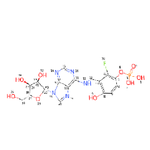 O=P(O)(O)Oc1ccc(O)c(CNc2ncnc3c2ncn3[C@@H]2O[C@H](CO)[C@@H](O)[C@H]2O)c1F